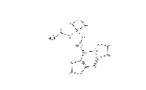 NSCC1(CNc2c3c(cc4c2CCC4)CCC3)COC1